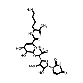 COC1C(O)[C@H](n2ccc(=O)[nH]c2=O)O[C@@H]1C(O[C@H]1OC(C(=O)NC(CCCCN)C(N)=O)=CC(O)C1O)C(N)=O